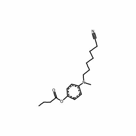 CCCC(=O)Oc1ccc(N(C)CCCCCCC#N)cc1